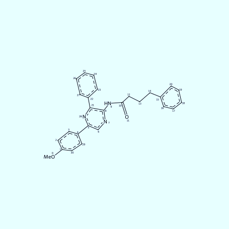 COc1ccc(-c2cnc(NC(=O)CCCc3ccccc3)c(-c3ccccc3)n2)cc1